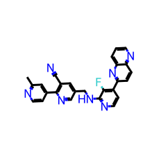 Cc1cc(-c2ncc(CNc3nccc(-c4ccc5ncccc5n4)c3F)cc2C#N)ccn1